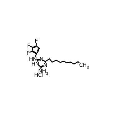 CCCCCCCCCCC1N=C(N)NC(Nc2ccc(F)c(F)c2F)=N1.Cl